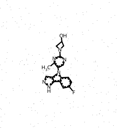 Cc1nc(N2CC(O)C2)ncc1-n1c2ccc(F)cc2c2[nH]ncc21